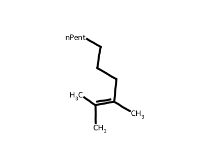 CCCCCCCCC(C)=C(C)C